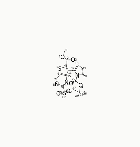 COC(=O)c1sc2cnc(S(C)(=O)=O)nc2c1-c1cccn1C(=O)OC(C)(C)C